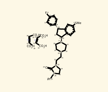 CSc1ccc2c(c1)[C@@H](c1ccc(F)cc1)C[C@@H]2N1CCN(CCN2CCN(C(C)C)C2=O)CC1.O=C(O)/C=C\C(=O)O.O=C(O)/C=C\C(=O)O